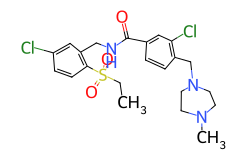 CCS(=O)(=O)c1ccc(Cl)cc1CNC(=O)c1ccc(CN2CCN(C)CC2)c(Cl)c1